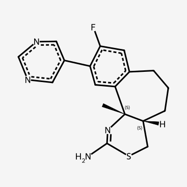 C[C@]12N=C(N)SC[C@H]1CCCc1cc(F)c(-c3cncnc3)cc12